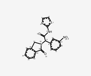 O=C(Nc1nccs1)C(c1cccc([N+](=O)[O-])c1)N1Cc2ccccc2C1=O